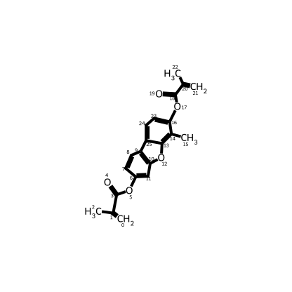 C=C(C)C(=O)Oc1ccc2c(c1)oc1c(C)c(OC(=O)C(=C)C)ccc12